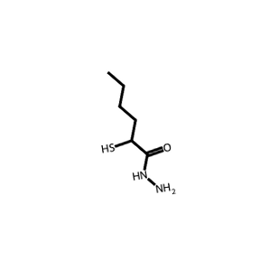 CCCCC(S)C(=O)NN